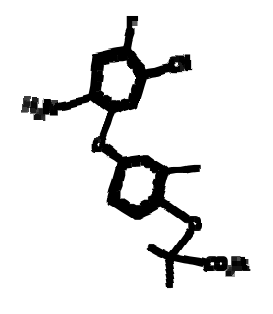 CCOC(=O)C(C)(C)Oc1ccc(Oc2cc(C#N)c(F)cc2N)cc1C